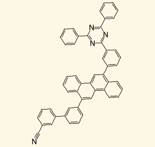 N#Cc1cccc(-c2cccc(-c3cc4c5ccccc5c(-c5cccc(-c6nc(-c7ccccc7)nc(-c7ccccc7)n6)c5)cc4c4ccccc34)c2)c1